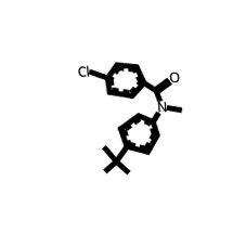 CN(C(=O)c1ccc(Cl)cc1)c1ccc(C(C)(C)C)cc1